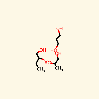 CC(O)CO.CCC(O)CO.OCCCO